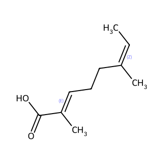 C/C=C(/C)CC/C=C(\C)C(=O)O